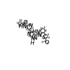 CC(=O)c1ccc(-c2cccc3[nH]c(-c4n[nH]c5cnc(-c6cncc(NC(=O)C7CCC7)c6)cc45)nc23)s1